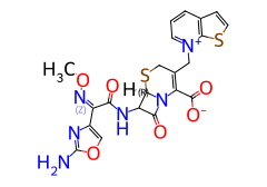 CO/N=C(\C(=O)NC1C(=O)N2C(C(=O)[O-])=C(C[n+]3cccc4ccsc43)CS[C@H]12)c1coc(N)n1